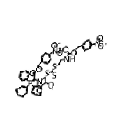 CO[C@H]1C(=O)N(C(C(=O)OCc2ccc([N+](=O)[O-])cc2)=P(c2ccccc2)(c2ccccc2)c2ccccc2)[C@@H]1SC(=S)SCCNC(=O)OCc1ccc([N+](=O)[O-])cc1